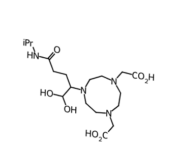 CC(C)NC(=O)CCC(C(O)O)N1CCN(CC(=O)O)CCN(CC(=O)O)CC1